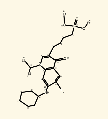 CCOP(=O)(CCCCc1cn(C(CC)CC)c2cc(NC3CCCCC3)c(F)cc2c1=O)OCC